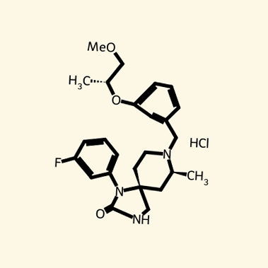 COC[C@@H](C)Oc1cccc(CN2CC[C@]3(CNC(=O)N3c3cccc(F)c3)C[C@@H]2C)c1.Cl